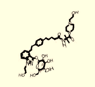 CC(C)(NC(=O)CCCCc1ccc(CCc2cccc3c2c(O[C@@H]2O[C@H](CO)[C@@H](O)[C@H](O)[C@H]2O)nn3CCO)cc1)C(=O)N1CCN(CCO)CC1